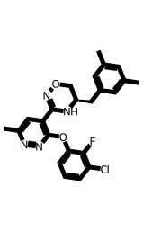 Cc1cc(C)cc(C[C@@H]2CON=C(c3cc(C)nnc3Oc3cccc(Cl)c3F)N2)c1